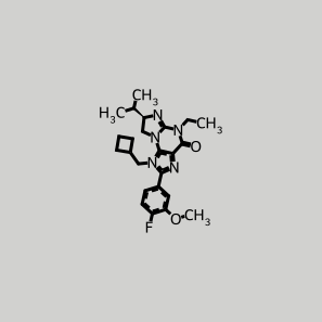 CCN1C(=O)c2nc(-c3ccc(F)c(OC)c3)n(CC3CCC3)c2N2C[C@@H](C(C)C)N=C12